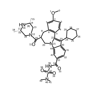 COc1ccc2c(c1)CC(C(=O)N1C[C@@H](C)N[C@@H](C)C1)Cn1c-2c(C2CCCCC2)c2ccc(C(=O)NS(=O)(=O)N(C)C)cc21